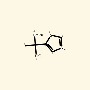 CCCCCCC(C)(CCC)c1cncs1